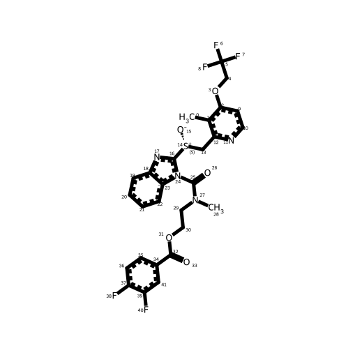 Cc1c(OCC(F)(F)F)ccnc1C[S@@+]([O-])c1nc2ccccc2n1C(=O)N(C)CCOC(=O)c1ccc(F)c(F)c1